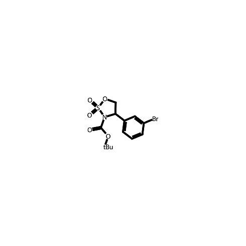 CC(C)(C)OC(=O)N1C(c2cccc(Br)c2)COS1(=O)=O